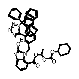 CCOc1nc2cccc(C(=O)OC(C)OC(=O)OC3CCCCC3)c2n1Cc1ccc(-c2ccccc2)c(-c2nnnn2C(c2ccccc2)(c2ccccc2)c2ccccc2)c1